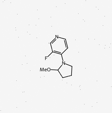 COC1CCCN1c1ccn[c]c1F